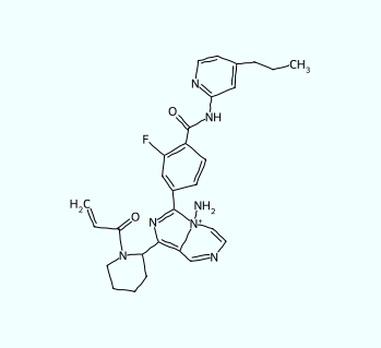 C=CC(=O)N1CCCCC1C1=C2C=NC=C[N+]2(N)C(c2ccc(C(=O)Nc3cc(CCC)ccn3)c(F)c2)=N1